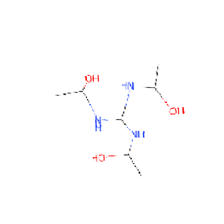 CC(O)NC(NC(C)O)NC(C)O